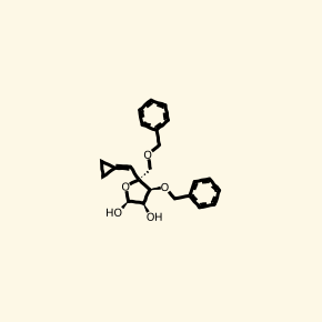 O[C@H]1[C@@H](O)O[C@](C=C2CC2)(COCc2ccccc2)[C@H]1OCc1ccccc1